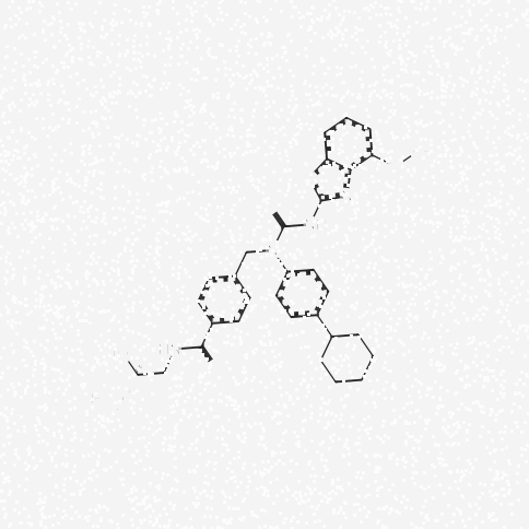 O=C(NC[C@@H](O)C(=O)O)c1ccc(CN(C(=O)Nc2nc3c(OC(F)(F)F)cccc3s2)c2ccc(C3CCCCC3)cc2)cc1